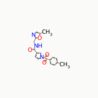 Cc1ccc(S(=O)(=O)n2ccc(C(=O)NCc3ncc(C)o3)c2)cc1